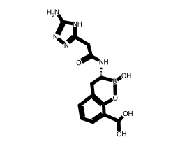 Nc1nnc(CC(=O)N[C@H]2Cc3cccc(C(O)O)c3OB2O)[nH]1